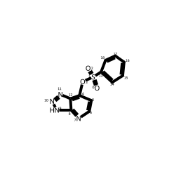 O=S(=O)(Oc1ccnc2[nH]nnc12)c1ccccc1